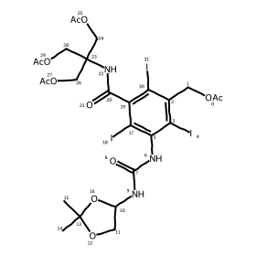 CC(=O)OCc1c(I)c(NC(=O)NC2COC(C)(C)O2)c(I)c(C(=O)NC(COC(C)=O)(COC(C)=O)COC(C)=O)c1I